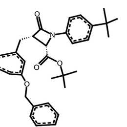 CC(C)(C)OC(=O)[C@@H]1[C@H](Cc2cccc(OCc3ccccc3)c2)C(=O)N1c1ccc(C(C)(C)C)cc1